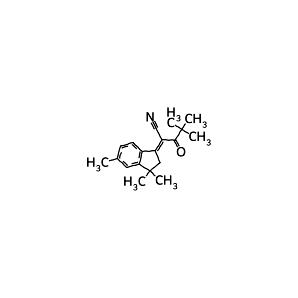 Cc1ccc2c(c1)C(C)(C)C/C2=C(/C#N)C(=O)C(C)(C)C